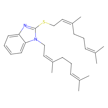 CC(C)=CCCC(C)=CCSc1nc2ccccc2n1CC=C(C)CCC=C(C)C